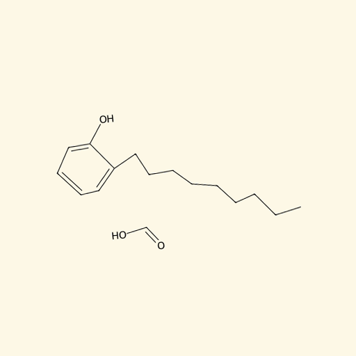 CCCCCCCCCc1ccccc1O.O=CO